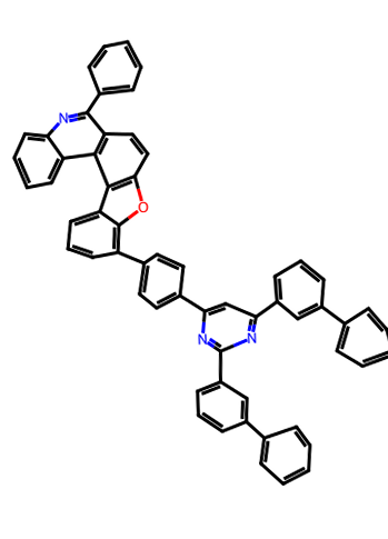 c1ccc(-c2cccc(-c3cc(-c4ccc(-c5cccc6c5oc5ccc7c(-c8ccccc8)nc8ccccc8c7c56)cc4)nc(-c4cccc(-c5ccccc5)c4)n3)c2)cc1